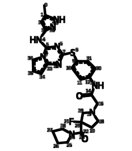 Cc1cc(Nc2nc(Sc3ccc(NC(=O)CN4CCC(F)(C(=O)N5CCCC5)C4)cc3)nc3cccn23)n[nH]1